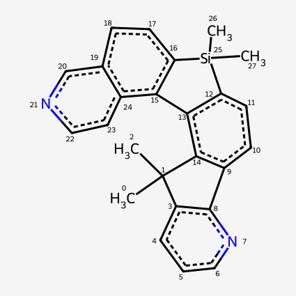 CC1(C)c2cccnc2-c2ccc3c(c21)-c1c(ccc2cnccc12)[Si]3(C)C